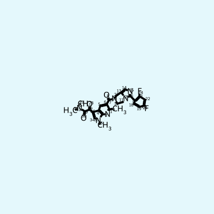 Cc1nc2c(cc1C(=O)N1CCn3c(cnc3-c3ccc(F)cc3F)C1)c(C(=O)C(=O)N(C)C)cn2C